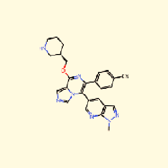 Cn1ncc2cc(-c3c(-c4ccc(C#N)cc4)nc(OC[C@@H]4CCCNC4)c4cncn34)cnc21